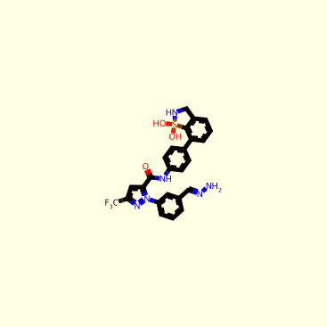 NN=Cc1cccc(-n2nc(C(F)(F)F)cc2C(=O)Nc2ccc(-c3cccc4c3S(O)(O)NC4)cc2)c1